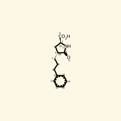 O=C1N[C@H](C(=O)O)C[C@H]1CCCc1ccccc1